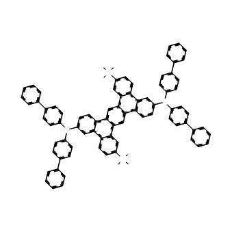 CC[Si](CC)(CC)c1ccc2c3cc(N(c4ccc(-c5ccccc5)cc4)c4ccc(-c5ccccc5)cc4)ccc3c3cc4c5cc([Si](CC)(CC)CC)ccc5c5cc(N(c6ccc(-c7ccccc7)cc6)c6ccc(-c7ccccc7)cc6)ccc5c4cc3c2c1